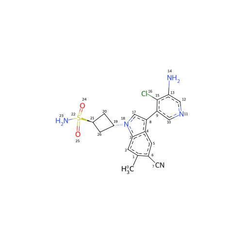 Cc1cc2c(cc1C#N)c(-c1cncc(N)c1Cl)cn2[C@H]1C[C@H](S(N)(=O)=O)C1